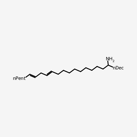 CCCCCC=CCC=CCCCCCCCCCC(N)CCCCCCCCCC